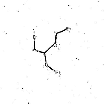 CCOC(CBr)OCC(C)C